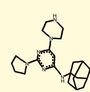 c1c(NC23CC4CC(CC(C4)C2)C3)nc(N2CCCC2)nc1N1CCNCC1